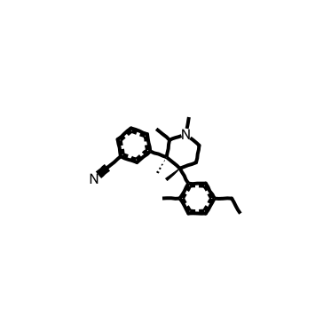 CCc1ccc(C)c([C@@]2(C)CCN(C)C(C)[C@]2(C)c2cccc(C#N)c2)c1